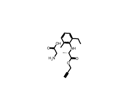 C#CCOC(=O)[C@H](C)Nc1c(C)cccc1CC.NCC(=O)O